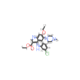 CCOC(=O)c1cnc2cc(OCC)c(N3CCN(C)CC3)cc2c1Nc1cccc(Cl)c1